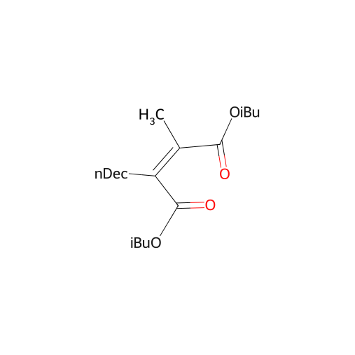 CCCCCCCCCC/C(C(=O)OCC(C)C)=C(\C)C(=O)OCC(C)C